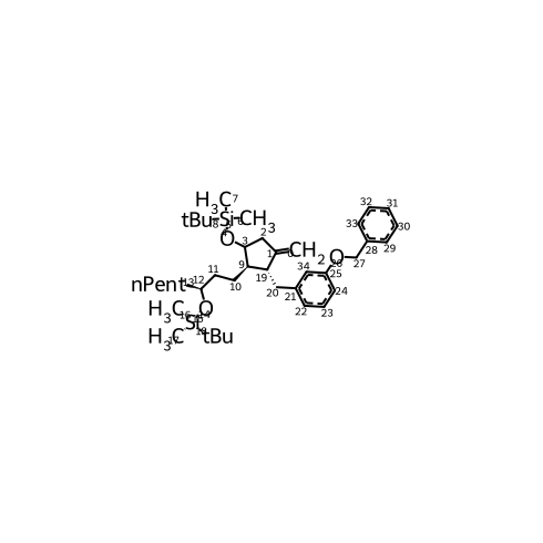 C=C1CC(O[Si](C)(C)C(C)(C)C)[C@H](CC[C@H](CCCCC)O[Si](C)(C)C(C)(C)C)[C@H]1Cc1cccc(OCc2ccccc2)c1